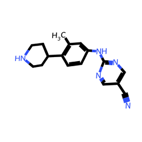 Cc1cc(Nc2ncc(C#N)cn2)ccc1C1CCNCC1